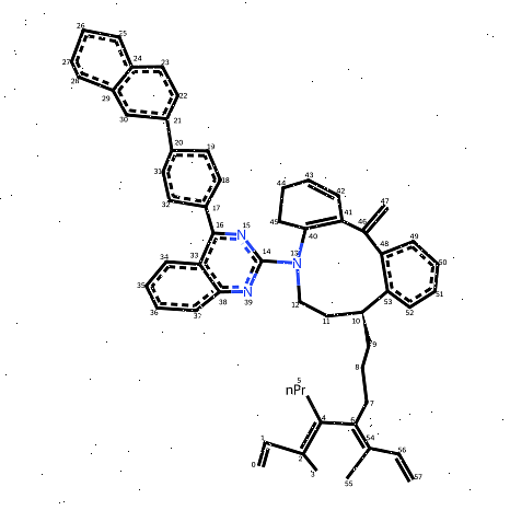 C=C/C(C)=C(CCC)/C(CCC[C@H]1CCN(c2nc(-c3ccc(-c4ccc5ccccc5c4)cc3)c3ccccc3n2)C2=C(C=CCC2)C(=C)c2ccccc21)=C(\C)C=C